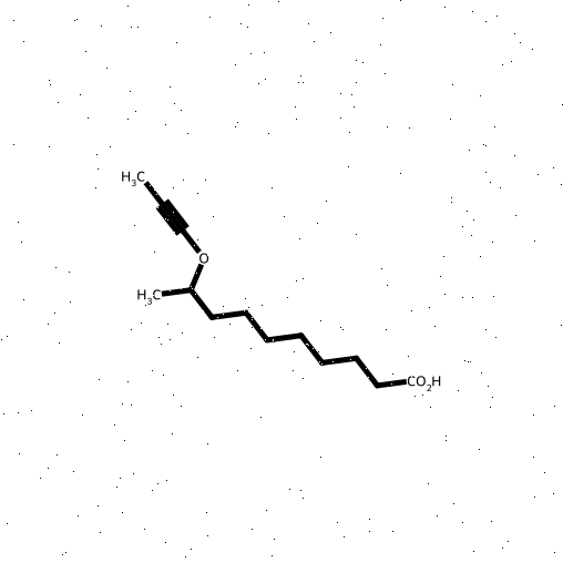 CC#COC(C)CCCCCCCC(=O)O